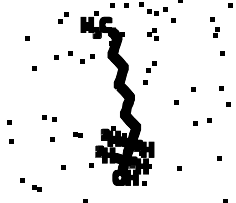 [2H]C([2H])(O)C([2H])([2H])CCCCCCCC